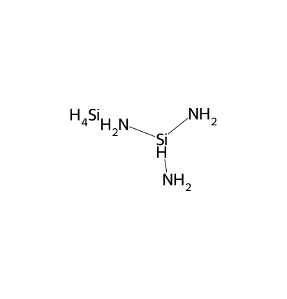 N[SiH](N)N.[SiH4]